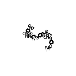 Cn1c(C(=O)N2CCN(Cc3ccc(OCC(F)(F)F)cc3)CC2)cc2ccc(Oc3ccc(NS(=O)(=O)c4cc([N+](=O)[O-])ccc4Cl)cn3)cc21